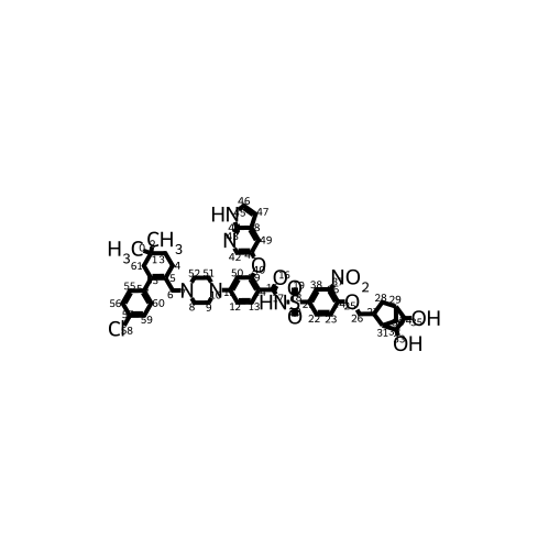 CC1(C)CCC(CN2CCN(c3ccc(C(=O)NS(=O)(=O)c4ccc(OCC5CC6CC5C(O)C6O)c([N+](=O)[O-])c4)c(Oc4cnc5[nH]ccc5c4)c3)CC2)=C(c2ccc(Cl)cc2)C1